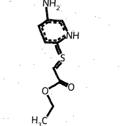 CCOC(=O)C=S=c1ccc(N)c[nH]1